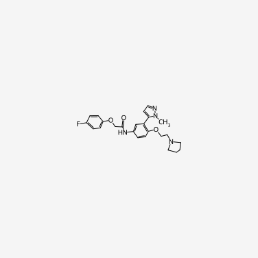 Cn1nccc1-c1cc(NC(=O)COc2ccc(F)cc2)ccc1OCCN1CCCC1